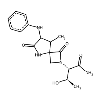 CC1C(Nc2ccccc2)C(=O)NC12CN([C@H](C(N)=O)[C@@H](C)O)C2=O